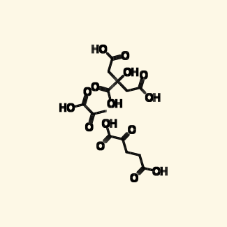 CC(=O)C(=O)O.O=C(O)CC(O)(CC(=O)O)C(=O)O.O=C(O)CCC(=O)C(=O)O